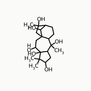 CC1(O)CC23CC(O)C4(O)C(CC(O)C4(C)C)C(C)(O)C2CCC1C3O